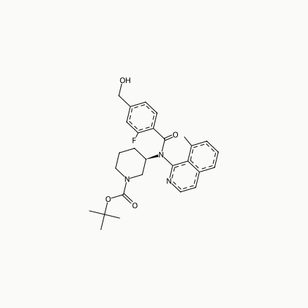 Cc1cccc2ccnc(N(C(=O)c3ccc(CO)cc3F)[C@@H]3CCCN(C(=O)OC(C)(C)C)C3)c12